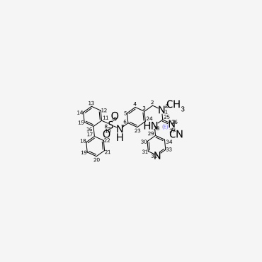 CN(Cc1ccc(NS(=O)(=O)c2ccccc2-c2ccccc2)cc1)/C(=N/C#N)Nc1ccncc1